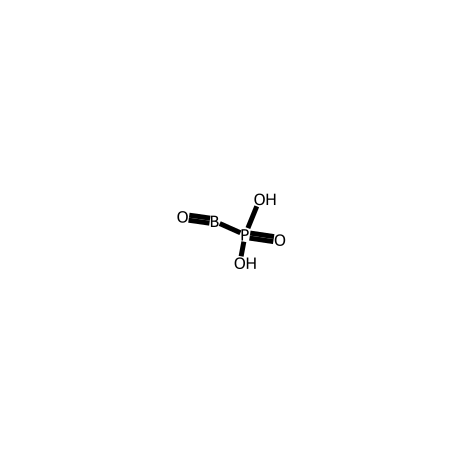 O=BP(=O)(O)O